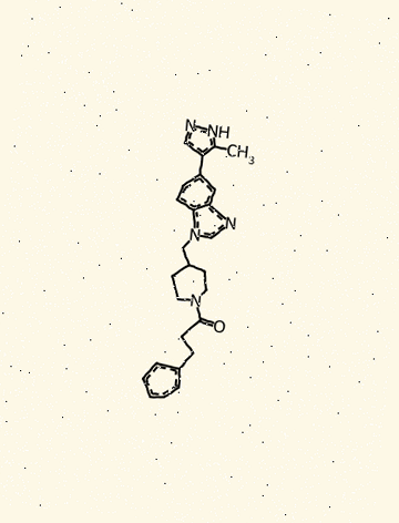 Cc1[nH]ncc1-c1ccc2c(c1)ncn2CC1CCN(C(=O)CCc2ccccc2)CC1